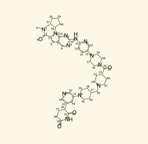 CN(C)C(=O)c1cc2cnc(Nc3ccc(N4CCN(C(=O)C5CCN(CC6CCN(c7cncc(C8CCC(=O)NC8=O)c7)CC6)CC5)CC4)cn3)nc2n1C1CCCC1